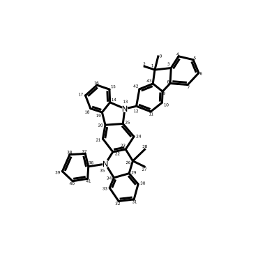 CC1(C)c2ccccc2-c2ccc(-n3c4ccccc4c4cc5c(cc43)C(C)(C)c3ccccc3N5c3ccccc3)cc21